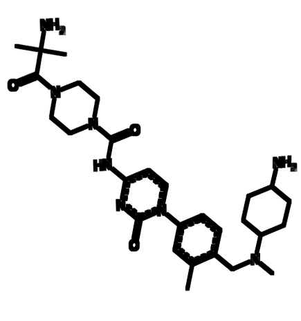 Cc1cc(-n2ccc(NC(=O)N3CCN(C(=O)C(C)(C)N)CC3)nc2=O)ccc1CN(C)C1CCC(N)CC1